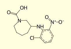 O=C(O)N1CCCCC(Nc2c(Cl)cccc2[N+](=O)[O-])C1